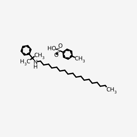 CCCCCCCCCCCCCCCCCCNC(C)(C)c1ccccc1.Cc1ccc(S(=O)(=O)O)cc1